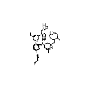 CCCC#Cc1ccc(N2C=C(C(O)CN)C=C(CC)C2)c(Oc2cc(C)nc(CC3CCOCCC3C)c2)c1